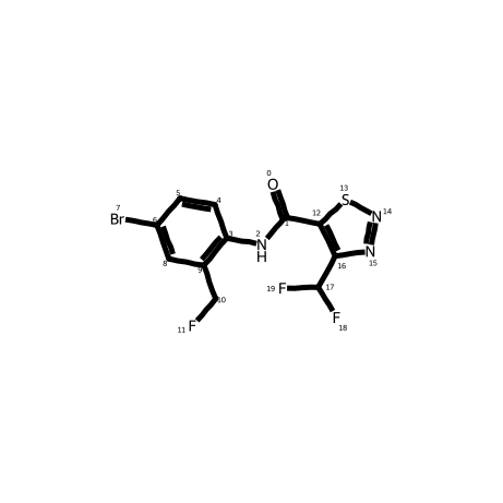 O=C(Nc1ccc(Br)cc1CF)c1snnc1C(F)F